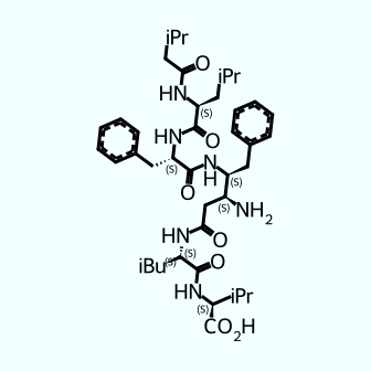 CC[C@H](C)[C@H](NC(=O)C[C@H](N)[C@H](Cc1ccccc1)NC(=O)[C@H](Cc1ccccc1)NC(=O)[C@H](CC(C)C)NC(=O)CC(C)C)C(=O)N[C@H](C(=O)O)C(C)C